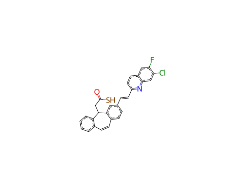 O=C(S)CC1c2ccccc2C=Cc2ccc(/C=C/c3ccc4cc(F)c(Cl)cc4n3)cc21